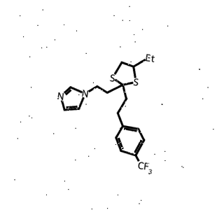 CCC1CSC(CCc2ccc(C(F)(F)F)cc2)(CCn2ccnc2)S1